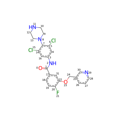 O=C(Nc1cc(Cl)c(N2CCNCC2)c(Cl)c1)c1ccc(F)c(OCc2cccnc2)c1